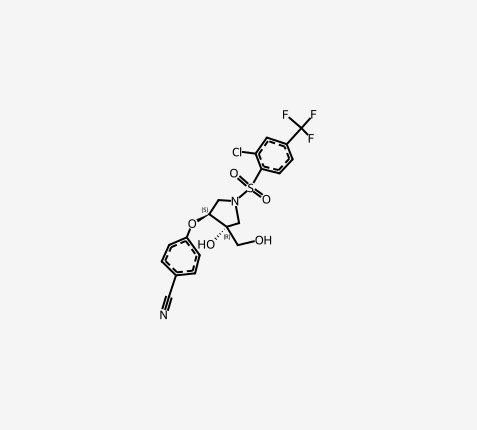 N#Cc1ccc(O[C@H]2CN(S(=O)(=O)c3ccc(C(F)(F)F)cc3Cl)C[C@@]2(O)CO)cc1